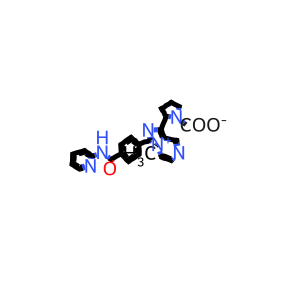 C[N+]12C=CN=CC1=C(C1CCCN1C(=O)[O-])N=C2c1ccc(C(=O)Nc2ccccn2)cc1